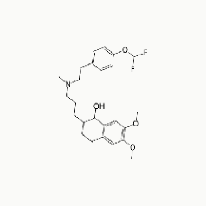 COc1cc2c(cc1OC)C(O)C(CCCN(C)CCc1ccc(OC(F)F)cc1)CC2